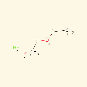 CCOCC.F.[B]